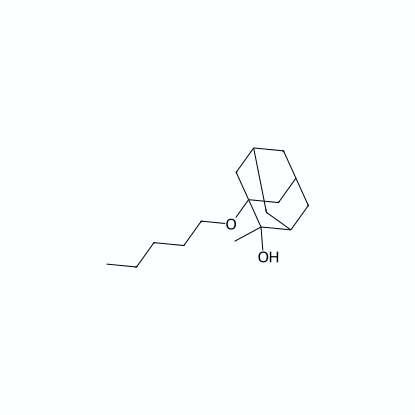 CCCCCOC12CC3CC(CC(C3)C1(C)O)C2